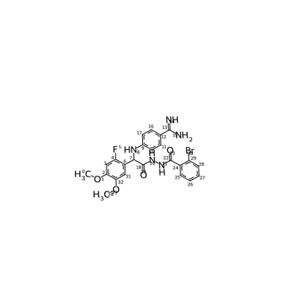 COc1cc(F)c(C(Nc2ccc(C(=N)N)cc2)C(=O)NNC(=O)c2ccccc2Br)cc1OC